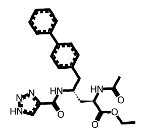 CCOC(=O)[C@@H](C[C@@H](Cc1ccc(-c2ccccc2)cc1)NC(=O)c1c[nH]nn1)NC(C)=O